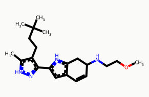 COCCNC1C=Cc2cc(-c3n[nH]c(C)c3CCC(C)(C)C)[nH]c2C1